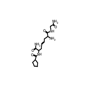 NC(=O)CNC(=O)C(N)CC=CCC(NC(=O)C1CCCC1)C(N)=O